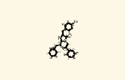 O=C1C(=Cc2ccc(F)cc2)N=C2C(Cc3ccccc3)=NC(c3ccccc3)=CN12